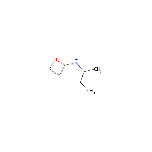 [CH2]C(CC)NC1CCO1